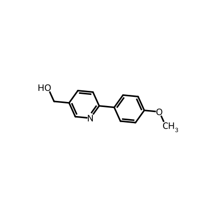 COc1ccc(-c2ccc(CO)cn2)cc1